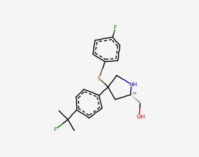 CC(C)(F)c1ccc(C2(Sc3ccc(F)cc3)CN[C@H](CO)C2)cc1